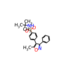 Cc1onc(-c2ccccc2)c1-c1ccc(S(=O)(=O)NC(C)(C)C)cc1